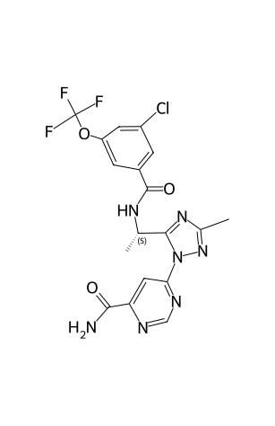 Cc1nc([C@H](C)NC(=O)c2cc(Cl)cc(OC(F)(F)F)c2)n(-c2cc(C(N)=O)ncn2)n1